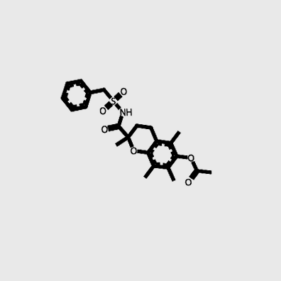 CC(=O)Oc1c(C)c(C)c2c(c1C)CCC(C)(C(=O)NS(=O)(=O)Cc1ccccc1)O2